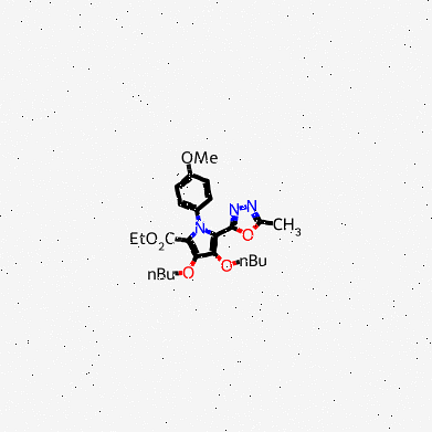 CCCCOc1c(OCCCC)c(-c2nnc(C)o2)n(-c2ccc(OC)cc2)c1C(=O)OCC